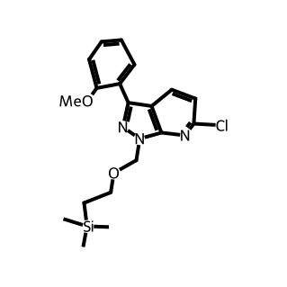 COc1ccccc1-c1nn(COCC[Si](C)(C)C)c2nc(Cl)ccc12